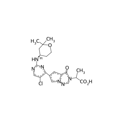 CC(C(=O)O)n1cnn2cc(-c3nc(N[C@@H]4CCOC(C)(C)C4)ncc3Cl)cc2c1=O